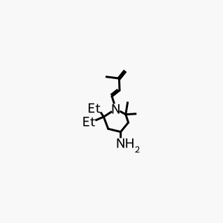 C=C(C)C=CN1C(C)(C)CC(N)CC1(CC)CC